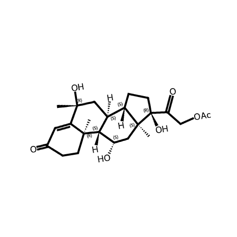 CC(=O)OCC(=O)[C@@]1(O)CC[C@H]2[C@@H]3C[C@@](C)(O)C4=CC(=O)CC[C@]4(C)[C@H]3[C@@H](O)C[C@@]21C